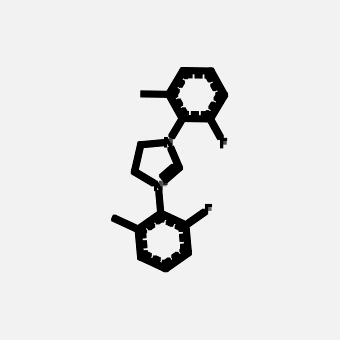 Cc1cccc(F)c1N1C=[N+](c2c(C)cccc2F)CC1